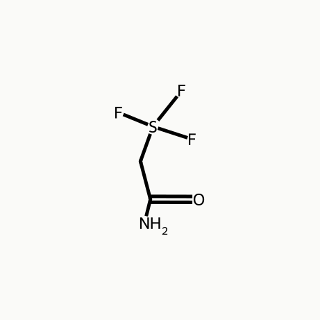 NC(=O)CS(F)(F)F